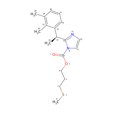 CSCCCOC(=O)n1ccnc1[C@@H](C)c1cccc(C)c1C